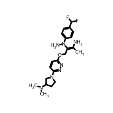 C/C(N)=C(\COc1ccc(N2CCC(N(C)C)C2)nn1)N(N)c1ccc(C(F)F)cc1